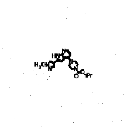 CCCOC(=O)N1CCN(c2ccnc3[nH]c(-c4cnn(C)c4)cc23)CC1